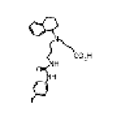 O=C(O)CCCN(CCCNC(=O)Nc1ccc(I)cc1)C1CCCc2ccccc21